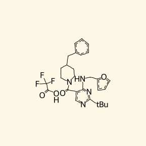 CC(C)(C)c1ncc(C(=O)N2CCC(Cc3ccccc3)CC2)c(NCc2ccco2)n1.O=C(O)C(F)(F)F